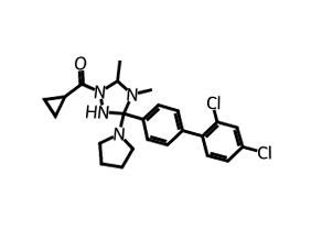 CC1N(C(=O)C2CC2)NC(c2ccc(-c3ccc(Cl)cc3Cl)cc2)(N2CCCC2)N1C